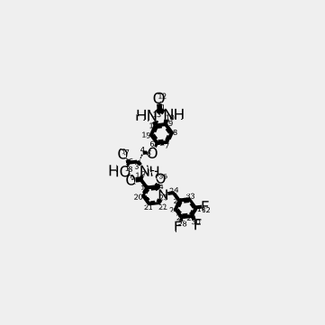 O=C(N[C@@H](COc1ccc2[nH]c(=O)[nH]c2c1)C(=O)O)c1cccn(Cc2cc(F)c(F)c(F)c2)c1=O